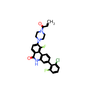 C=CC(=O)N1CCN(c2ccc3c(=O)[nH]c4cc(-c5c(F)cccc5Cl)ccc4c3c2F)CC1